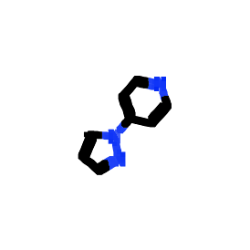 [c]1ccnn1-c1ccncc1